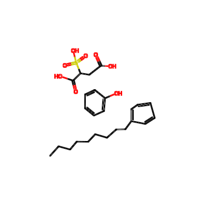 CCCCCCCCCc1ccccc1.O=C(O)CC(C(=O)O)S(=O)(=O)O.Oc1ccccc1